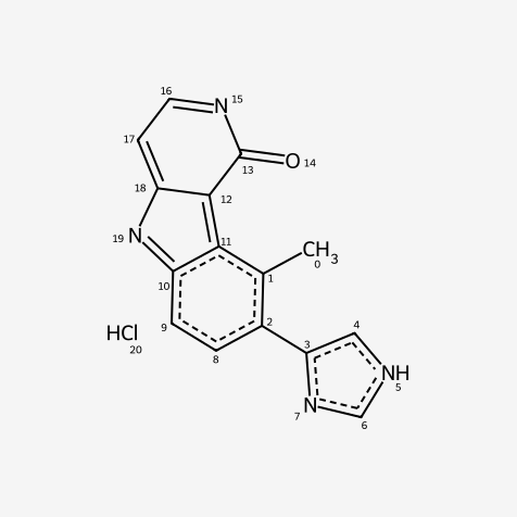 Cc1c(-c2c[nH]cn2)ccc2c1=C1C(=O)N=CC=C1N=2.Cl